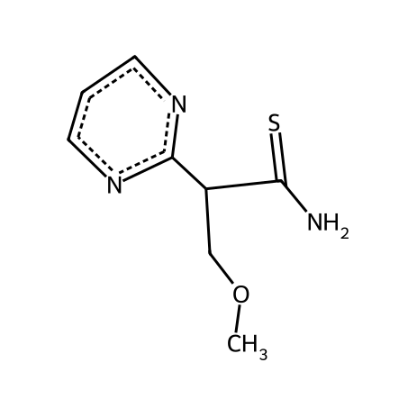 COCC(C(N)=S)c1ncccn1